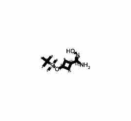 CC(C)(C)[Si](C)(C)OC1CC(/C(N)=N\O)C1